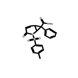 COC(=O)C1(c2ccccc2)C2C=CC(=O)N(S(=O)(=O)c3ccc(C)cc3)C21